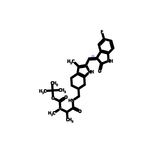 Cc1c(/C=C2\C(=O)Nc3ccc(F)cc32)[nH]c2c1CCC(CNC(=O)C(C)N(C)C(=O)OC(C)(C)C)C2